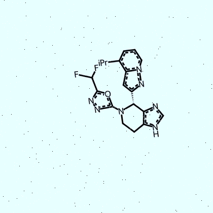 CC(C)c1cccn2nc([C@@H]3c4nc[nH]c4CCN3c3nnc(C(F)F)o3)cc12